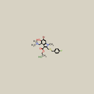 CCOC(=O)c1c(CSCc2ccc(F)cc2)n(C)c2cc(Br)c(O)c(CN(C)C)c12.Cl